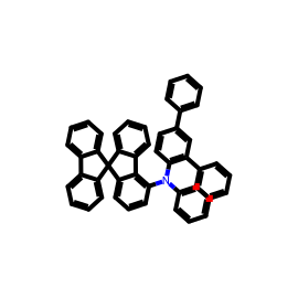 c1ccc(-c2ccc(N(c3ccccc3)c3cccc4c3-c3ccccc3C43c4ccccc4-c4ccccc43)c(-c3ccccc3)c2)cc1